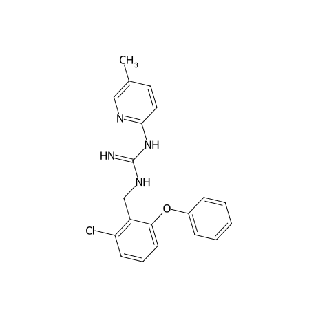 Cc1ccc(NC(=N)NCc2c(Cl)cccc2Oc2ccccc2)nc1